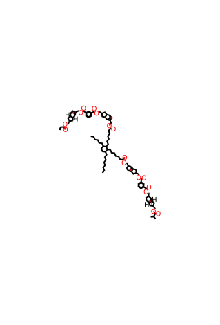 C=CC(=O)OCC1C[C@@H]2C3CC(CC3COC(=O)c3cccc(C(=O)OCC4CC5C6CC(COC(=O)CCCCCCC7C(CCCCCC)CCC(CCCCCCCC)C7CCCCCCC(=O)OCC7CC8CC7C7CC(COC(=O)c9cccc(C(=O)OCC%10CC%11CC%10[C@H]%10CC(COC(=O)C(=C)C)C[C@@H]%11%10)c9)CC87)C(C6)C5C4)c3)[C@@H]2C1